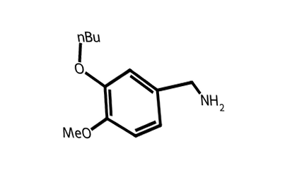 CCCCOc1cc(CN)ccc1OC